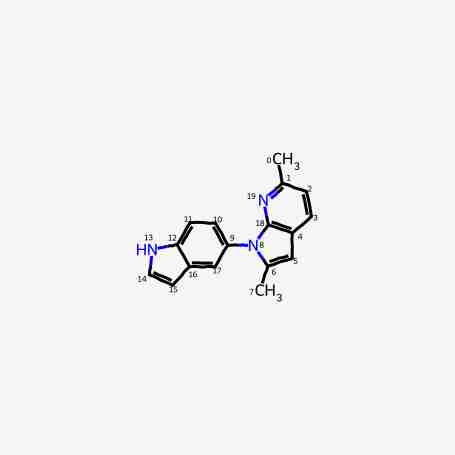 Cc1ccc2cc(C)n(-c3ccc4[nH]ccc4c3)c2n1